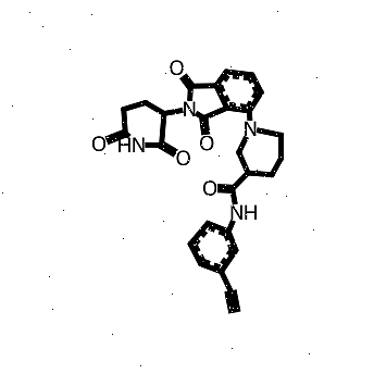 C#Cc1cccc(NC(=O)C2CCCN(c3cccc4c3C(=O)N(C3CCC(=O)NC3=O)C4=O)C2)c1